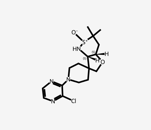 CC1(C)C[C@@H]2OCC3(CCN(c4nccnc4Cl)CC3)[C@@H]2N[S+]1[O-]